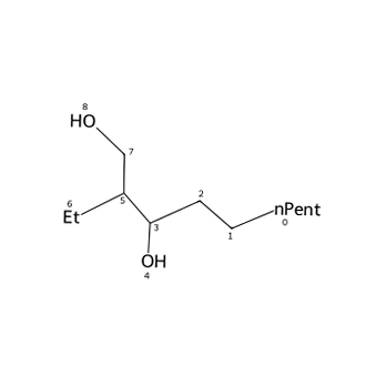 CCCCCCCC(O)C(CC)CO